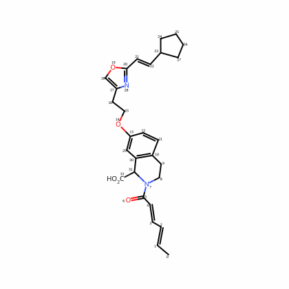 CC=CC=CC(=O)N1CCc2ccc(OCCc3coc(C=CC4CCCC4)n3)cc2C1C(=O)O